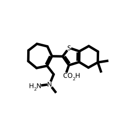 CN(N)CC1=C(c2sc3c(c2C(=O)O)CC(C)(C)CC3)CCCCC1